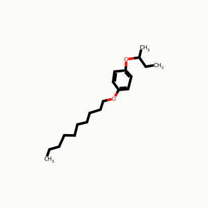 CCCCCCCCCCOc1ccc(OC(C)CC)cc1